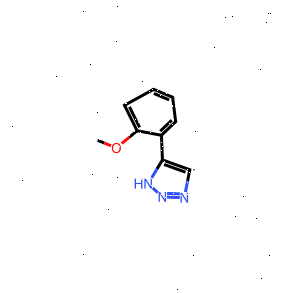 COc1ccccc1-c1[c]nn[nH]1